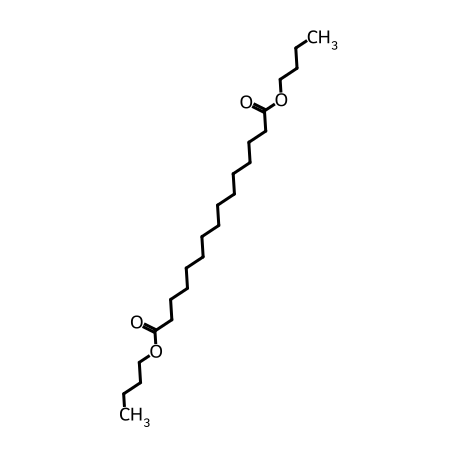 CCCCOC(=O)CCCCCCCCCCCCCC(=O)OCCCC